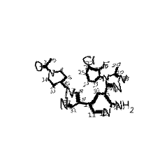 CC(=O)N1CCC(n2cc(-c3cnc(N)c(-c4nnc(C)n4-c4cccc(Cl)c4F)c3)cn2)CC1